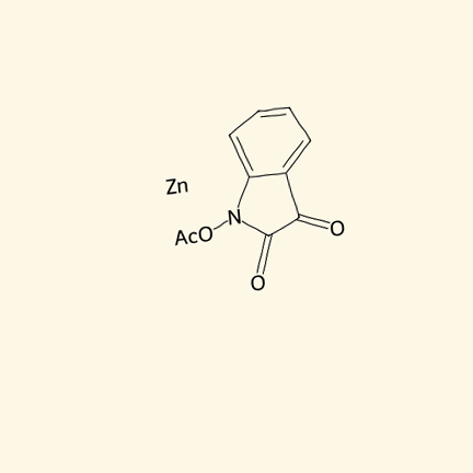 CC(=O)ON1C(=O)C(=O)c2ccccc21.[Zn]